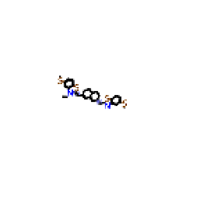 CCN1/C(=C/C2=CC3=C/C(=C/c4nc5cc(SC)ccc5s4)CCC3CC2)Sc2ccc(SC)cc21